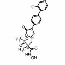 C[C@@](C[C@H]1CN(c2ccc(-c3ccncc3F)cc2)C(=O)O1)(C(=O)NO)S(C)(=O)=O